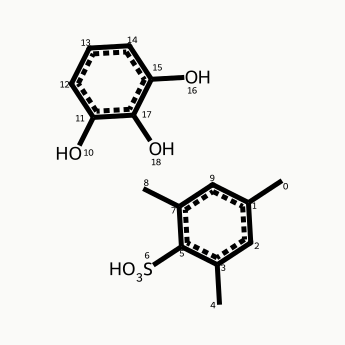 Cc1cc(C)c(S(=O)(=O)O)c(C)c1.Oc1cccc(O)c1O